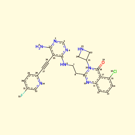 Nc1ncnc(NCCc2nc3cccc(Cl)c3c(=O)n2C2CNC2)c1C#Cc1ccc(F)cn1